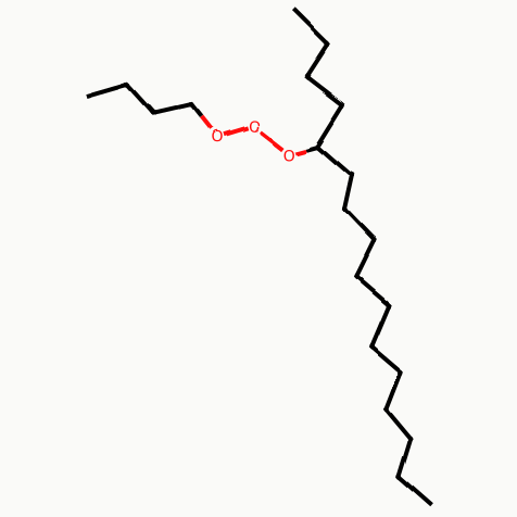 CCCCCCCCCCCC(CCCC)OOOCCCC